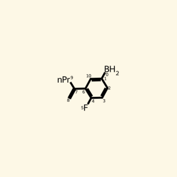 Bc1ccc(F)c(C(=C)CCC)c1